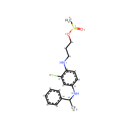 CS(=O)OCCCNc1ccc(NC(c2ccccc2)C(F)(F)F)cc1F